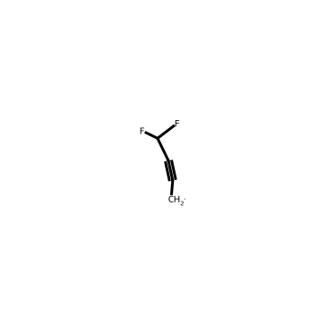 [CH2]C#CC(F)F